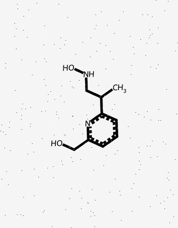 CC(CNO)c1cccc(CO)n1